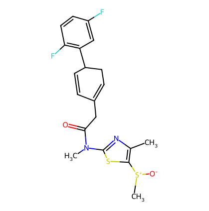 Cc1nc(N(C)C(=O)CC2=CCC(c3cc(F)ccc3F)C=C2)sc1[S+](C)[O-]